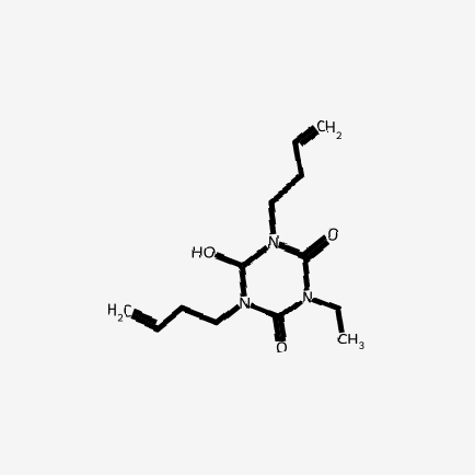 C=CCCN1C(=O)N(CC)C(=O)N(CCC=C)C1O